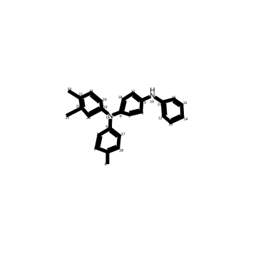 Cc1ccc(N(c2ccc(Nc3ccccc3)cc2)c2ccc(C)c(C)c2)cc1